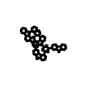 c1ccc(-n2c3ccccc3c3ccc4c5cc(-c6ccc7oc8cccc(-c9nc(-c%10ccc%11c(c%10)sc%10ccccc%10%11)nc(-n%10c%11ccccc%11c%11ccccc%11%10)n9)c8c7c6)ccc5n(-c5ccccc5)c4c32)cc1